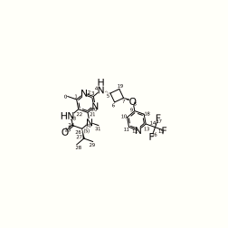 Cc1nc(N[C@H]2C[C@H](Oc3ccnc(C(F)(F)F)c3)C2)nc2c1NC(=O)[C@H](C(C)C)N2C